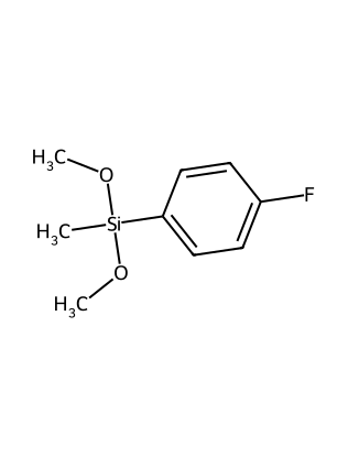 CO[Si](C)(OC)c1ccc(F)cc1